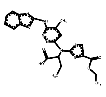 CCOC(=O)c1csc(N(c2cc(C)c(Nc3nc4ccccc4s3)nn2)C(CC)C(=O)O)n1